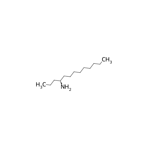 CCCCCCCCC[C@@H](N)CCC